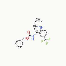 CC[C@@H]1C[C@H](NC(=O)OCc2ccccc2)c2cc(C(F)(F)F)ccc2N1